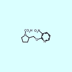 O=C(O)N1CCCC1COc1ncccc1[N+](=O)[O-]